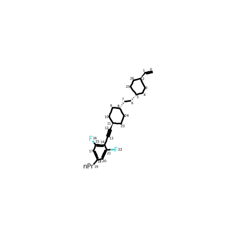 C=C[C@H]1CC[C@H](CC[C@H]2CC[C@H](C#Cc3c(F)cc(CCC)cc3F)CC2)CC1